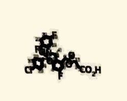 C[C@H](c1ccc(F)cc1CS(=O)(=O)CCC(=O)O)N(c1cc(F)ccc1F)S(=O)(=O)c1ccc(Cl)cc1